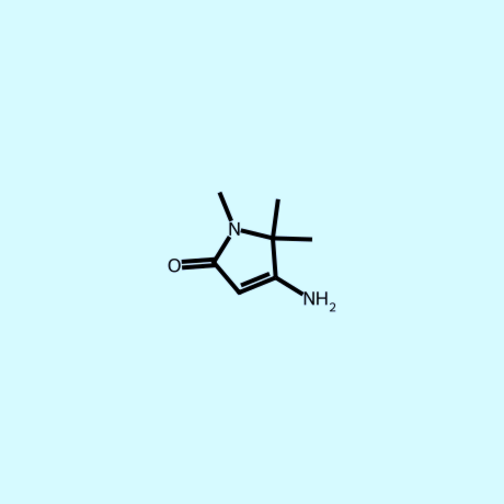 CN1C(=O)C=C(N)C1(C)C